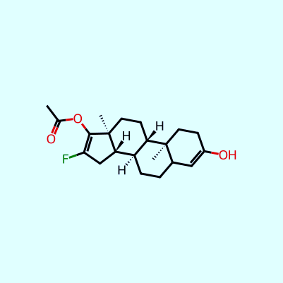 CC(=O)OC1=C(F)C[C@H]2[C@@H]3CCC4C=C(O)CC[C@]4(C)[C@H]3CC[C@]12C